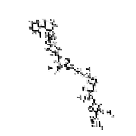 COCC(=O)N(C)CCCN(C)C(=O)Cc1csc(NCCCCCC(=O)N(C)CCN2CCC(OC(=O)Nc3ccccc3-c3ccccc3)CC2)n1